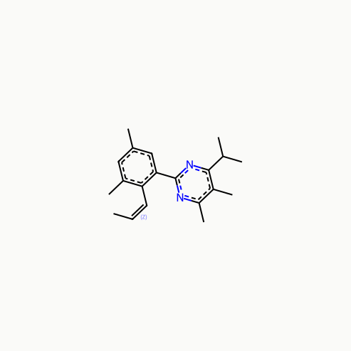 C/C=C\c1c(C)cc(C)cc1-c1nc(C)c(C)c(C(C)C)n1